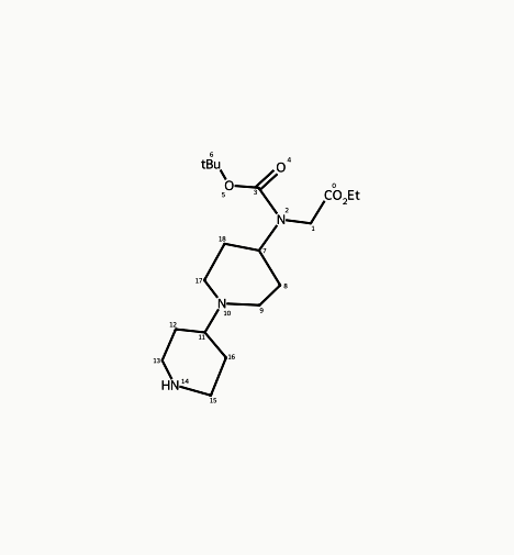 CCOC(=O)CN(C(=O)OC(C)(C)C)C1CCN(C2CCNCC2)CC1